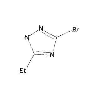 CCC1=NC(Br)=N[N]1